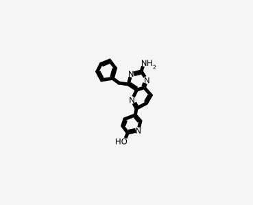 Nc1nc(Cc2ccccc2)c2nc(-c3ccc(O)nc3)ccc2n1